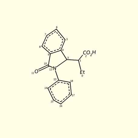 CCC(C(=O)O)C1c2ccccc2C(=O)N1c1ccccc1